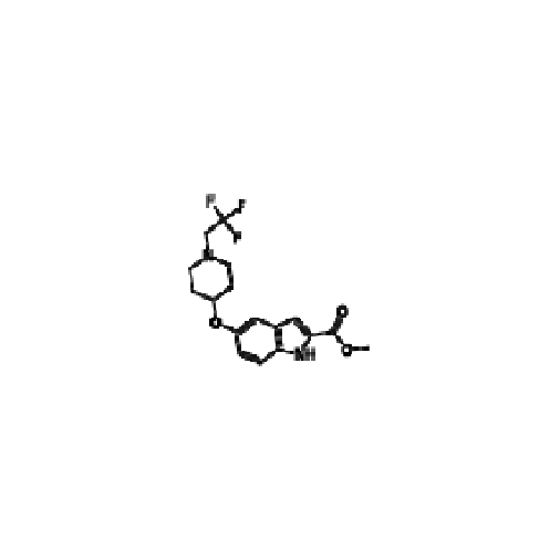 COC(=O)c1cc2cc(OC3CCN(CC(F)(F)F)CC3)ccc2[nH]1